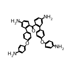 Nc1ccc(Oc2ccc(-c3cc(N)ccc3C(=O)c3ccc(N)cc3-c3ccc(Oc4ccc(N)cc4)cc3)cc2)cc1